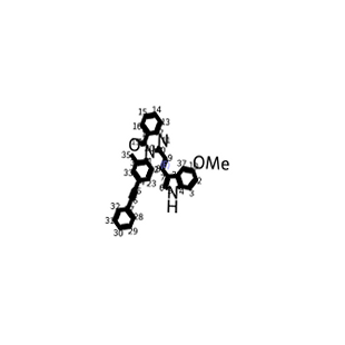 COc1ccc2[nH]cc(/C=C/c3nc4ccccc4c(=O)n3-c3ccc(C#Cc4ccccc4)cc3C)c2c1